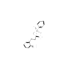 O=C(CCc1ccccc1Cl)OS(=O)(=O)c1ccccc1